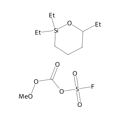 CCC1CCC[Si](CC)(CC)O1.COOC(=O)OS(=O)(=O)F